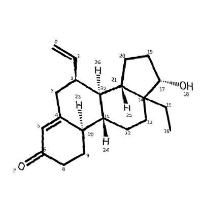 C=C[C@@H]1CC2=CC(=O)CC[C@@H]2[C@H]2CCC3(CC)[C@@H](O)CC[C@H]3[C@@H]21